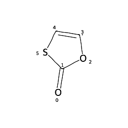 O=c1o[c]cs1